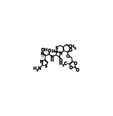 C=CC1=C(C(=O)OCc2oc(=O)oc2C)N2C(=O)C(NC(=O)/C(=N\O)c3csc(N)n3)[C@@H]2SC1